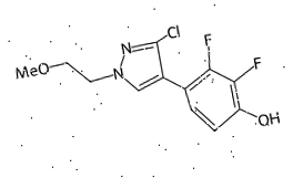 COCCn1cc(-c2ccc(O)c(F)c2F)c(Cl)n1